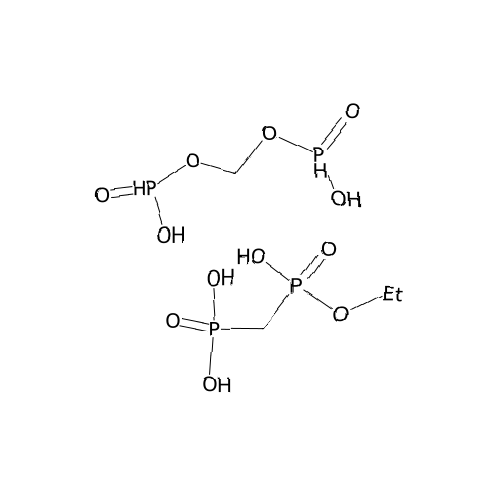 CCOP(=O)(O)CP(=O)(O)O.O=[PH](O)OCO[PH](=O)O